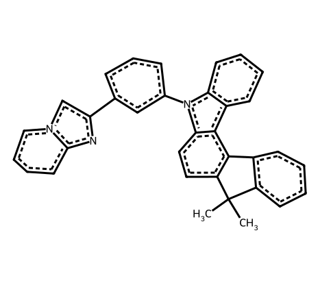 CC1(C)c2ccccc2-c2c1ccc1c2c2ccccc2n1-c1cccc(-c2cn3ccccc3n2)c1